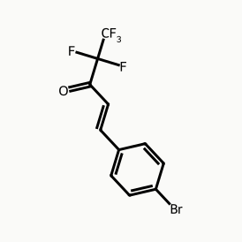 O=C(C=Cc1ccc(Br)cc1)C(F)(F)C(F)(F)F